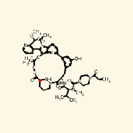 C=CC(=O)N1CCN(C(=O)N(C)C(C(=O)N[C@H]2Cc3cc(O)cc(c3)-c3ccc4c(c3)c(c(-c3cccnc3[C@H](C)OC)n4CC)CC(C)(C)COC(=O)[C@@H]3CCCN(N3)C2=O)C(C)C)CC1